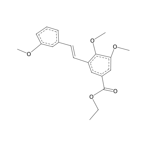 CCOC(=O)c1cc(C=Cc2cccc(OC)c2)c(OC)c(OC)c1